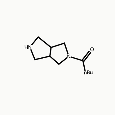 CCCCC(=O)N1CC2CNCC2C1